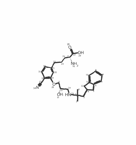 CC(C)(CC1Cc2ccccc2C1)NC[C@H](O)COc1cc(CCC[C@@H](N)C(=O)O)ccc1C#N